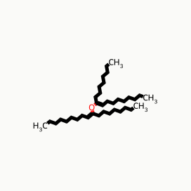 CCCCCCCCC=C(CCCCCCCC)OC(=CCCCCCCCC)CCCCCCCC